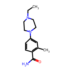 CCN1CCN(c2ccc(C(N)=O)c(C)c2)CC1